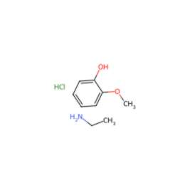 CCN.COc1ccccc1O.Cl